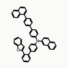 c1ccc(-c2cc3ccccc3o2)c(-c2ccc(N(c3ccc(-c4ccc(-c5cccc6ccccc56)cc4)cc3)c3ccc4ccccc4c3)cc2)c1